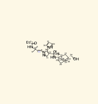 CCC(=O)NC(C)(C)/C=C/n1ncc(C(=O)N[C@H]2C3CC4CC2C[C@](CO)(C4)C3)c1-n1cccn1